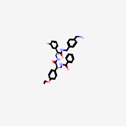 CCOc1ccc([C@@H](CNC(=O)c2ccccc2)C(=O)NC[C@H](C(=O)NCc2ccc(CN)cc2)c2cccc(F)c2)cc1